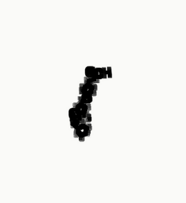 CCN(Cc1ccccc1)Cc1ccc(COc2ccc(CCC(=O)O)cc2)cc1